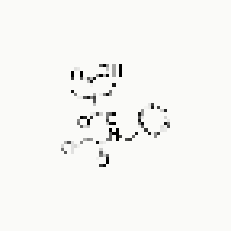 CCC(CC)(C(=O)O)C(=O)ON(Cc1ccccc1)C(=O)CCl